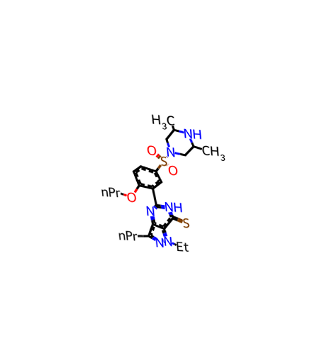 CCCOc1ccc(S(=O)(=O)N2CC(C)NC(C)C2)cc1-c1nc2c(CCC)nn(CC)c2c(=S)[nH]1